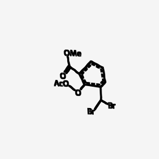 COC(=O)c1cccc(C(Br)Br)c1OOC(C)=O